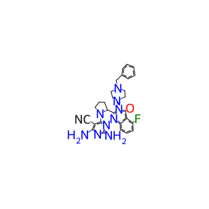 N#Cc1c(N)nc(N)nc1N1CCCC1c1nc2cccc(F)c2c(=O)n1N1CCN(Cc2ccccc2)CC1